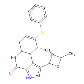 CC1OC(c2c[nH]c3c2C2C(CC=C(Sc4ccccc4)[C@@H]2C)NC3=O)O1